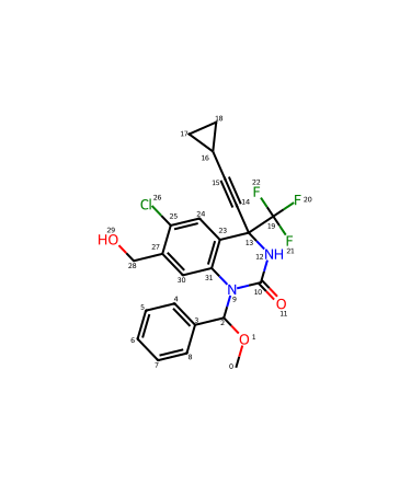 COC(c1ccccc1)N1C(=O)NC(C#CC2CC2)(C(F)(F)F)c2cc(Cl)c(CO)cc21